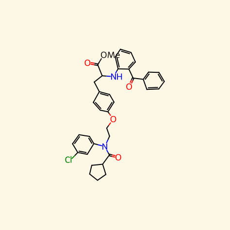 COC(=O)C(Cc1ccc(OCCN(C(=O)C2CCCC2)c2cccc(Cl)c2)cc1)Nc1ccccc1C(=O)c1ccccc1